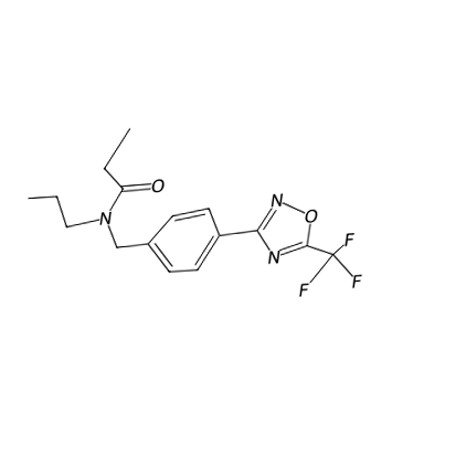 CCCN(Cc1ccc(-c2noc(C(F)(F)F)n2)cc1)C(=O)CC